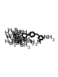 BBB(B)B(B(B(B)B)B(B)B)B(B(B(B)B)B(B)B)C1CCC(c2ccc(Cc3cc(N)cc(N)c3)cc2)CC1